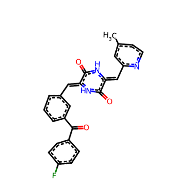 Cc1ccnc(C=c2[nH]c(=O)c(=Cc3cccc(C(=O)c4ccc(F)cc4)c3)[nH]c2=O)c1